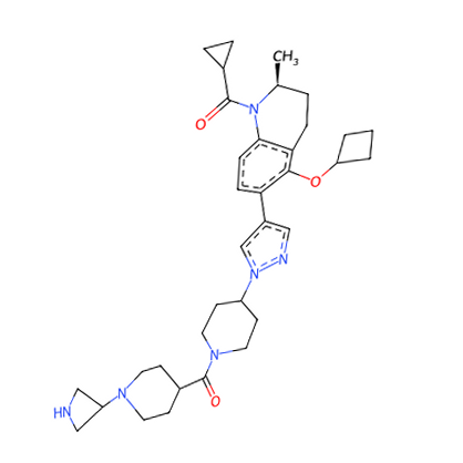 C[C@H]1CCc2c(ccc(-c3cnn(C4CCN(C(=O)C5CCN(C6CNC6)CC5)CC4)c3)c2OC2CCC2)N1C(=O)C1CC1